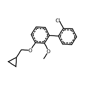 COc1c(OCC2CC2)cccc1-c1ccccc1Cl